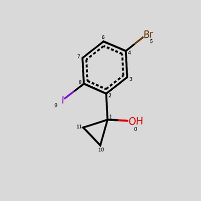 OC1(c2cc(Br)ccc2I)CC1